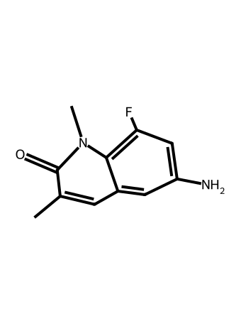 Cc1cc2cc(N)cc(F)c2n(C)c1=O